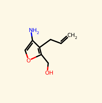 C=CCc1c(N)coc1CO